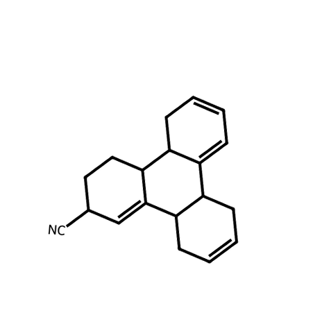 N#CC1C=C2C3CC=CCC3C3=CC=CCC3C2CC1